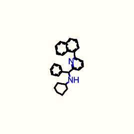 c1ccc(C(NC2CCCCC2)c2cccc(-c3cccc4ccccc34)n2)cc1